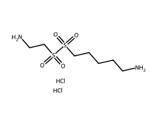 Cl.Cl.NCCCCCS(=O)(=O)S(=O)(=O)CCN